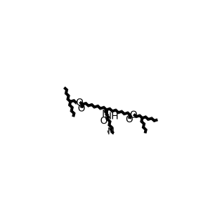 CCCCCC(CCCCC)CCOC(=O)CCCCCCCC(CCCCCCCC(=O)OCCC(CCCCC)CCCCC)=NNC(=O)CCCN(C)C